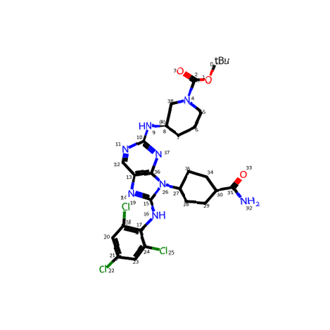 CC(C)(C)OC(=O)N1CCC[C@@H](Nc2ncc3nc(Nc4c(Cl)cc(Cl)cc4Cl)n(C4CCC(C(N)=O)CC4)c3n2)C1